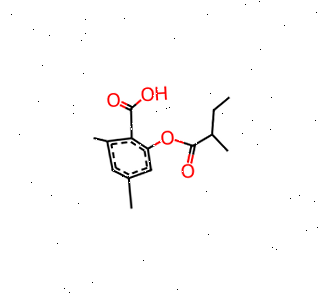 CCC(C)C(=O)Oc1cc(C)cc(C)c1C(=O)O